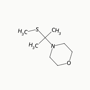 CSC(C)(C)N1CCOCC1